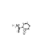 NC(=S)C1CCCC[S+]1[O-]